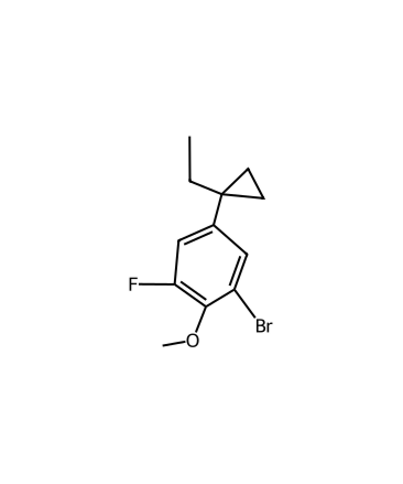 CCC1(c2cc(F)c(OC)c(Br)c2)CC1